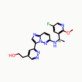 COc1ncc(F)cc1[C@@H](C)Nc1ccc2ncc(-c3cc(CCO)cnn3)n2n1